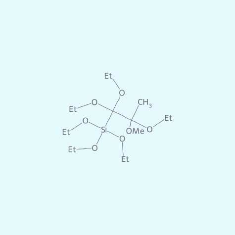 CCOC(C)(OC)C(OCC)(OCC)[Si](OCC)(OCC)OCC